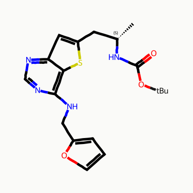 C[C@@H](Cc1cc2ncnc(NCc3ccco3)c2s1)NC(=O)OC(C)(C)C